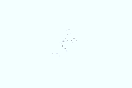 COc1ccc(-c2c(-c3ccccc3)oc3ncnc(OC(C)C(C)OCCC(=O)OC(C)(C)C)c23)cc1